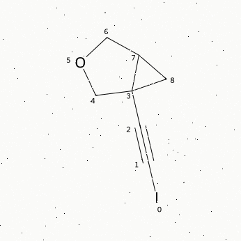 IC#CC12COCC1C2